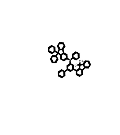 CC1(C)c2ccccc2-c2cccc(-c3cc(-c4ccccc4)cc(N(c4ccccc4)c4ccc5c(c4)-c4ccccc4C5(c4ccccc4)c4ccccc4)c3)c21